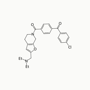 CCN(CC)Cc1cc2c(o1)CN(C(=O)c1ccc(C(=O)c3ccc(Cl)cc3)cc1)CC2